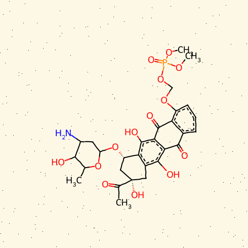 COP(=O)(OC)OCOc1cccc2c1C(=O)c1c(O)c3c(c(O)c1C2=O)C[C@@](O)(C(C)=O)C[C@@H]3OC1CC(N)C(O)C(C)O1